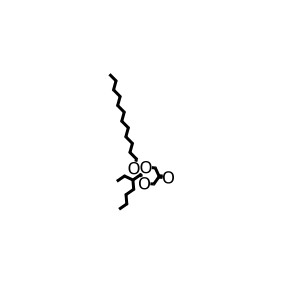 CCCCCCCCCCCCOC1(C(CC)CCCC)OCC(=O)CO1